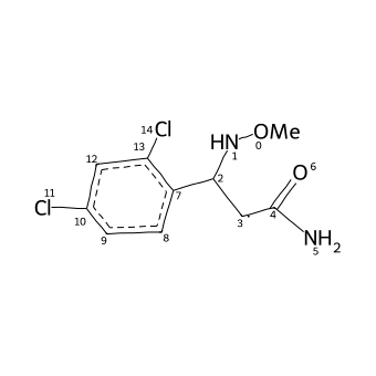 CONC([CH]C(N)=O)c1ccc(Cl)cc1Cl